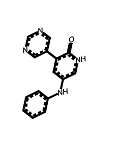 O=c1[nH]cc(Nc2ccccc2)cc1-c1cncnc1